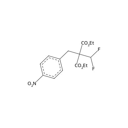 CCOC(=O)C(Cc1ccc([N+](=O)[O-])cc1)(C(=O)OCC)C(F)F